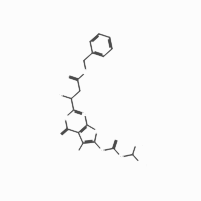 Cc1c(NC(=O)NC(C)C)sc2nc(C(N)CC(=O)OCc3ccccc3)oc(=O)c12